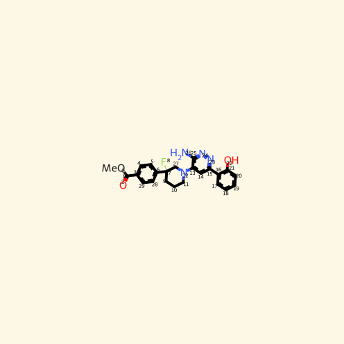 COC(=O)c1ccc([C@]2(F)CCCN(c3cc(-c4ccccc4O)nnc3N)C2)cc1